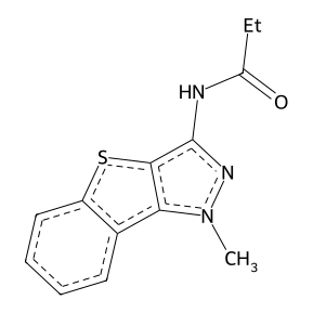 CCC(=O)Nc1nn(C)c2c1sc1ccccc12